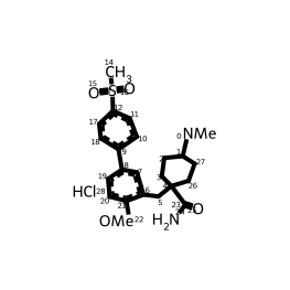 CNC1CCC(Cc2cc(-c3ccc(S(C)(=O)=O)cc3)ccc2OC)(C(N)=O)CC1.Cl